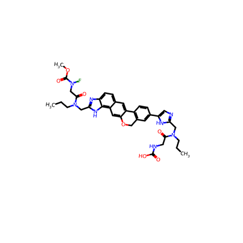 CCCN(Cc1ncc(-c2ccc3c(c2)COc2cc4c(ccc5nc(CN(CCC)C(=O)CN(F)C(=O)OC)[nH]c54)cc2-3)[nH]1)C(=O)CNC(=O)O